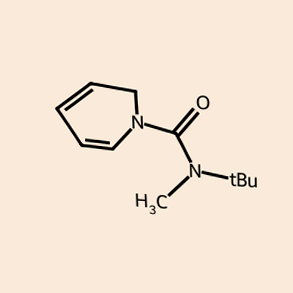 CN(C(=O)N1C=CC=CC1)C(C)(C)C